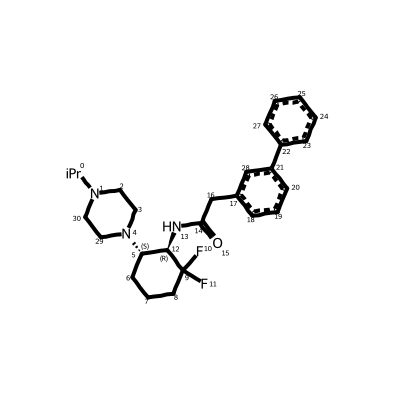 CC(C)N1CCN([C@H]2CCCC(F)(F)[C@@H]2NC(=O)Cc2cccc(-c3ccccc3)c2)CC1